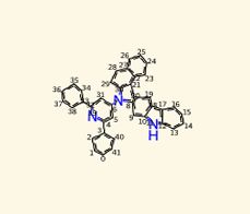 c1ccc(-c2cc(-n3c4cc5[nH]c6ccccc6c5cc4c4c5ccccc5ccc43)cc(-c3ccccc3)n2)cc1